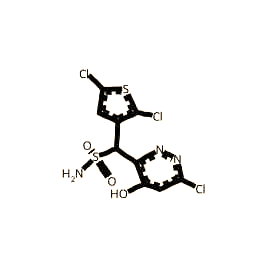 NS(=O)(=O)C(c1cc(Cl)sc1Cl)c1nnc(Cl)cc1O